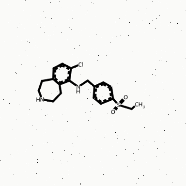 CCS(=O)(=O)c1ccc(CNc2c(Cl)ccc3c2CCNCC3)cc1